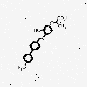 CC(Oc1ccc(SCc2ccc(-c3ccc(C(F)(F)F)cc3)cc2)c(O)c1)C(=O)O